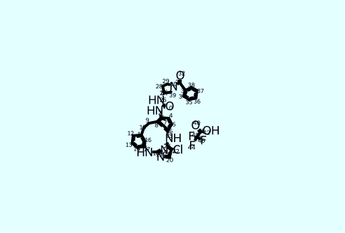 O=C(Nc1ccc2cc1CCc1cccc(c1)Nc1ncc(Cl)c(n1)N2)N[C@@H]1CCN(C(=O)c2ccccc2)C1.O=C(O)C(F)(F)F